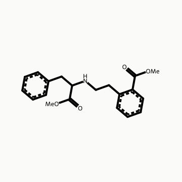 COC(=O)c1ccccc1CCNC(Cc1ccccc1)C(=O)OC